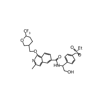 CCS(=O)(=O)c1ccc(C(CO)NC(=O)c2ccc3c(OCC4CCC(C(F)(F)F)OC4)nc(C)cc3c2)cc1